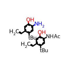 C=Cc1cc(O)c(N)cc1C(C)(C)C.C=Cc1cc(O)c(NC(C)=O)cc1C(C)(C)C